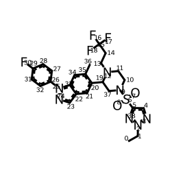 CCn1ncc(S(=O)(=O)N2CCN(CCC(F)(F)F)C(c3cc4cnn(-c5ccc(F)cc5)c4cc3C)C2)n1